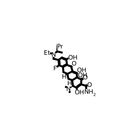 CCN(Cc1cc(O)c2c(c1F)C[C@H]1C[C@H]3[C@H](N(C)C)C(O)=C(C(N)=O)C(=O)[C@@]3(O)C(O)=C1C2=O)[C@H](C)C(C)C